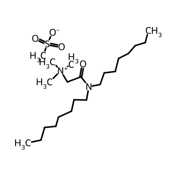 CCCCCCCCN(CCCCCCCC)C(=O)C[N+](C)(C)C.CS(=O)(=O)[O-]